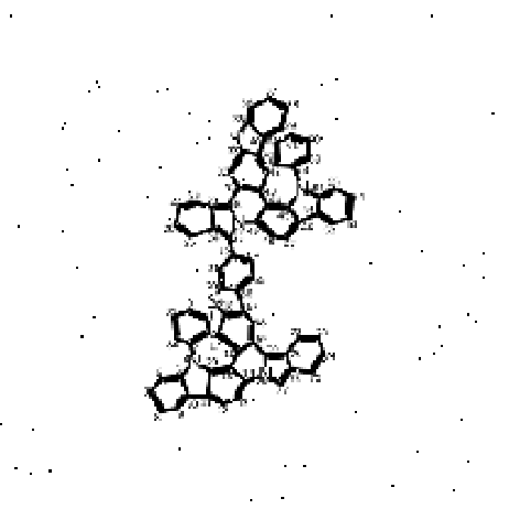 c1ccc(-n2c3ccccc3c3ccc4c(c5cc6sc7cc(-c8c9ccccc9c9c%10cc%11sc%12ccccc%12c%11cc%10c%10c%11c(ccc%10n89)c8ccccc8n%11-c8ccccc8)ccc7c6cc5c5c6ccccc6cn45)c32)cc1